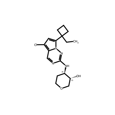 CCC1(c2cc(Cl)c3cnc(N[C@@H]4CCOC[C@H]4O)nn23)CCC1